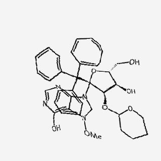 CON1CN([C@]2(C(c3ccccc3)(c3ccccc3)c3ccccc3)O[C@H](CO)[C@@H](O)[C@H]2OC2CCCCO2)c2ncnc(O)c21